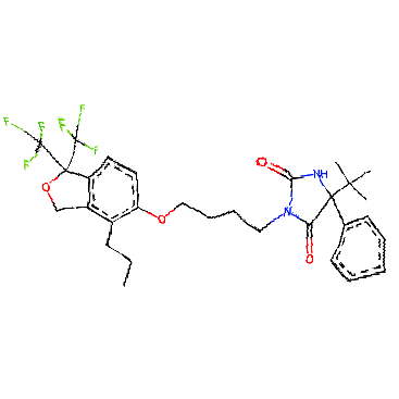 CCCc1c(OCCCCN2C(=O)NC(c3ccccc3)(C(C)(C)C)C2=O)ccc2c1COC2(C(F)(F)F)C(F)(F)F